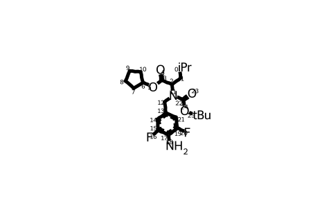 CC(C)CC(C(=O)OC1CCCC1)N(Cc1cc(F)c(N)c(F)c1)C(=O)OC(C)(C)C